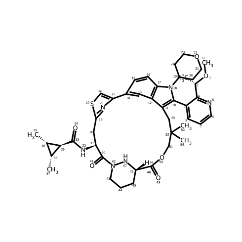 CO[C@@H](C)c1ncccc1-c1c2c3cc(ccc3n1C1CCOCC1)-c1csc(n1)C[C@H](NC(=O)[C@H]1[C@H](C)[C@@H]1C)C(=O)N1CCC[C@H](N1)C(=O)OCC(C)(C)C2